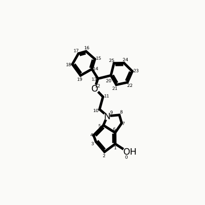 Oc1cccc2c1CCN2CCOC(c1ccccc1)c1ccccc1